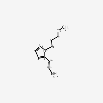 COCCCn1nccc1/C=C/N